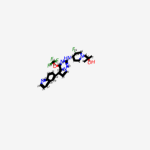 CC(C)(O)CN1CC[C@H](Nc2nc(OC(F)(F)F)c3c(-c4ccc5ncccc5c4)ccn3n2)[C@H](F)C1